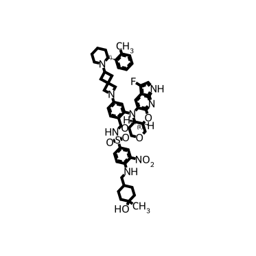 Cc1ccccc1[C@H]1CCCCN1C1CC2(C1)CN(c1ccc(C(=O)NS(=O)(=O)c3ccc(NCC4CCC(C)(O)CC4)c([N+](=O)[O-])c3)c(N3c4cc5c(F)c[nH]c5nc4O[C@H]4COCC[C@@H]43)c1)C2